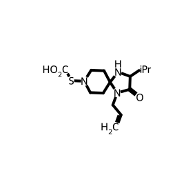 C=CCN1C(=O)C(C(C)C)NC12CCN(SC(=O)O)CC2